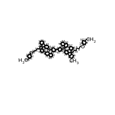 C=Cc1ccc(OCCCCCCC2(c3ccccc3)C3=C(CC(C)C=C3)c3ccc(N(c4ccc(-c5ccc(N(c6ccc7c(c6)C(CCCCCCOc6ccc(C=C)cc6)(c6ccccc6)c6ccccc6-7)c6cccc7ccccc67)cc5)cc4)c4cccc5ccccc45)cc32)cc1